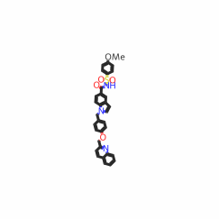 COc1ccc(S(=O)(=O)NC(=O)c2ccc3c(ccn3Cc3ccc(OCc4ccc5ccccc5n4)cc3)c2)cc1